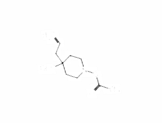 C=CCC1(C=O)CCN(OC(=O)C(C)(C)C)CC1